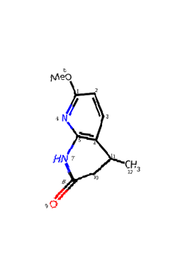 COc1ccc2c(n1)NC(=O)CC2C